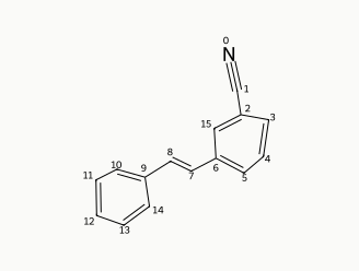 N#Cc1cccc(/C=C/c2ccccc2)c1